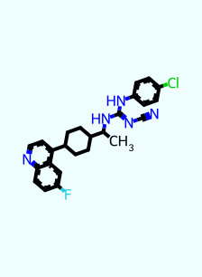 CC(NC(=NC#N)Nc1ccc(Cl)cc1)C1CCC(c2ccnc3ccc(F)cc23)CC1